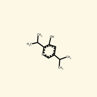 CC(C)c1cnc(C(C)C)c(O)c1